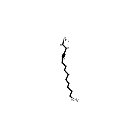 [CH2]CCCCCCCCCC#C[CH]CC